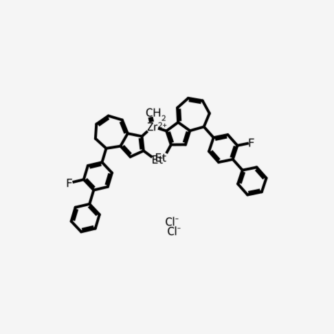 [CH2]=[Zr+2]([C]1=C(CC)C=C2C1=CC=CCC2c1ccc(-c2ccccc2)c(F)c1)[C]1=C(CC)C=C2C1=CC=CCC2c1ccc(-c2ccccc2)c(F)c1.[Cl-].[Cl-]